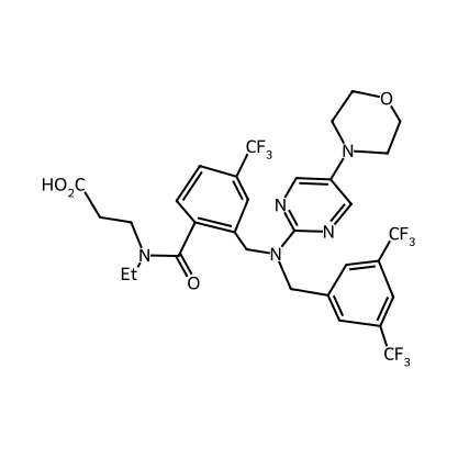 CCN(CCC(=O)O)C(=O)c1ccc(C(F)(F)F)cc1CN(Cc1cc(C(F)(F)F)cc(C(F)(F)F)c1)c1ncc(N2CCOCC2)cn1